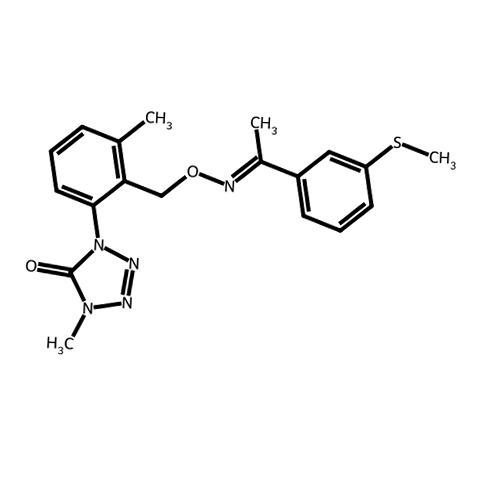 CSc1cccc(C(C)=NOCc2c(C)cccc2-n2nnn(C)c2=O)c1